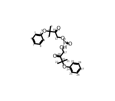 CC(C)(Oc1ccccc1)C(=O)CO[PH](=O)OCC(=O)C(C)(C)Oc1ccccc1